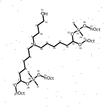 CCCCCCCCOC(CCCCCN(CCCCO)CCCCCC(OCCCCCCCC)O[Si](C)(C)OCCCCCCCC)O[Si](C)(C)OCCCCCCCC